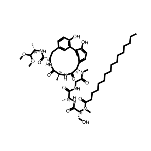 CCCCCCCCCCCCCCCC(=O)N(C)[C@H](CO)C(=O)N[C@H](C)C(=O)NCC(=O)N(C)[C@@H]1C(=O)N[C@@H](C)C(=O)N[C@H](C(=O)N[C@@H](C)C(OC)OC)Cc2ccc(O)c(c2)-c2cc1ccc2O